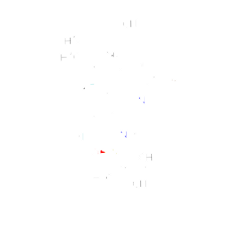 CC[Si](CC)(CC)c1cc(Br)nc(/C(CF)=N/[S@+]([O-])C(C)(C)C)c1F